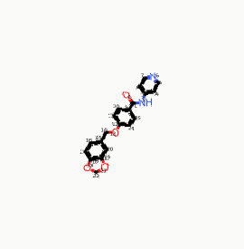 O=C(Nc1ccncc1)c1ccc(OCc2ccc3c(c2)OCO3)cc1